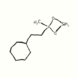 C[Si]1(CCC2CCCCC2)O[SiH2]O1